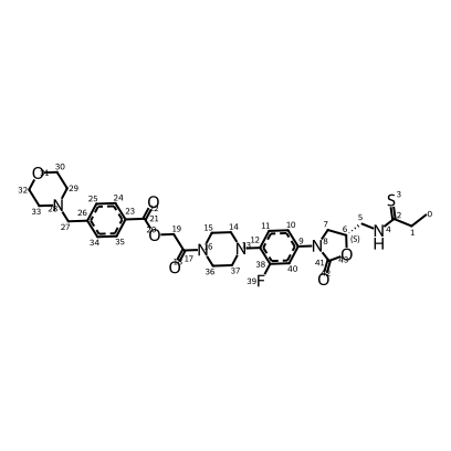 CCC(=S)NC[C@H]1CN(c2ccc(N3CCN(C(=O)COC(=O)c4ccc(CN5CCOCC5)cc4)CC3)c(F)c2)C(=O)O1